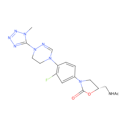 CC(=O)NC[C@H]1CN(c2ccc(N3C=NN(c4nnnn4C)CC3)c(F)c2)C(=O)O1